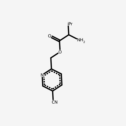 CC(C)C(N)C(=O)OCc1ccc(C#N)cn1